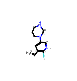 C=Cc1cc(N2CCCNCC2)cnc1F